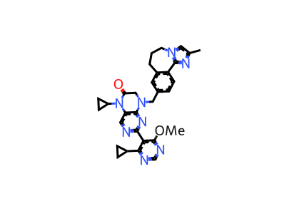 COc1ncnc(C2CC2)c1-c1ncc2c(n1)N(Cc1ccc3c(c1)CCCn1cc(C)nc1-3)CC(=O)N2C1CC1